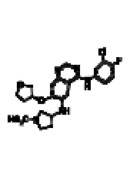 O=C(O)N1CCC(Nc2cc3c(Nc4ccc(F)c(Cl)c4)ncnc3cc2O[C@H]2CCOC2)C1